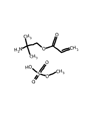 C=CC(=O)OCC(C)(C)N.COS(=O)(=O)O